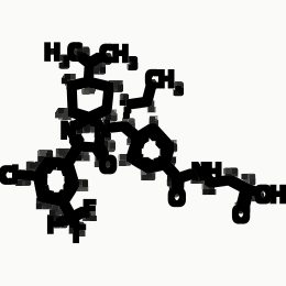 CCC[C@H](c1ccc(C(=O)NCCC(=O)O)cc1)N1C(=O)C(c2cc(Cl)cc(C(F)(F)F)c2)=NC12CCC(C(C)C)CC2